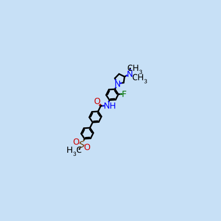 CN(C)C1CCN(c2ccc(NC(=O)c3ccc(-c4ccc(S(C)(=O)=O)cc4)cc3)cc2F)C1